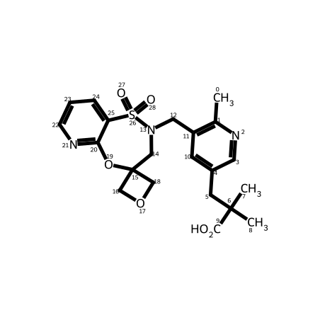 Cc1ncc(CC(C)(C)C(=O)O)cc1CN1CC2(COC2)Oc2ncccc2S1(=O)=O